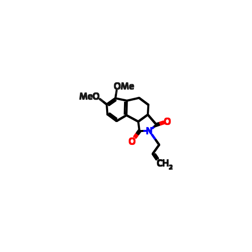 C=CCN1C(=O)C2CCc3c(ccc(OC)c3OC)C2C1=O